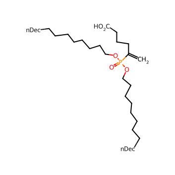 C=C(CCCC(=O)O)P(=O)(OCCCCCCCCCCCCCCCCCC)OCCCCCCCCCCCCCCCCCC